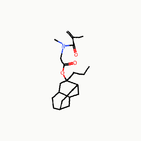 C=C(C)C(=O)N(C)CC(=O)OC1(CCC)CC2CCC3CC2CC1C3